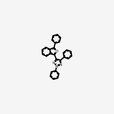 c1ccc(-c2nn(-c3ccccc3)nc2-c2oc(-c3ccccc3)c3ccccc23)cc1